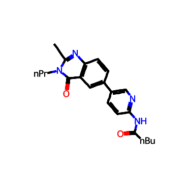 CCCCC(=O)Nc1ccc(-c2ccc3nc(C)n(CCC)c(=O)c3c2)cn1